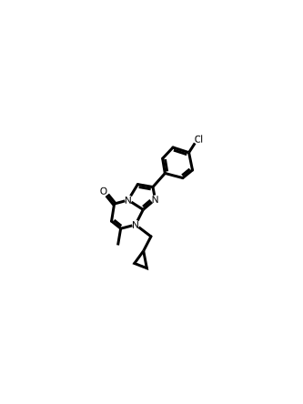 Cc1cc(=O)n2cc(-c3ccc(Cl)cc3)nc2n1CC1CC1